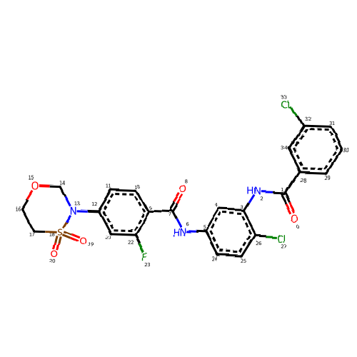 O=C(Nc1cc(NC(=O)c2ccc(N3COCCS3(=O)=O)cc2F)ccc1Cl)c1cccc(Cl)c1